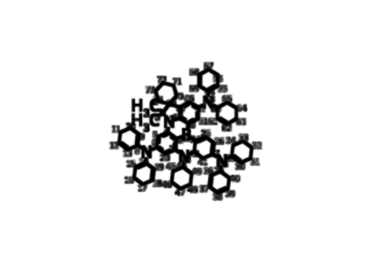 CC1(C)N2c3cc(N(C4=CCCC=C4)C4=CCCC=C4)cc4c3B(C3=CC=C(N(C5=CCCCC5)C5C=CC=CC5)CC3N4C3CCCCC3)c3cc(N(C4=CCCC=C4)C4C=CCCC4)cc(c32)C12CCCCC2